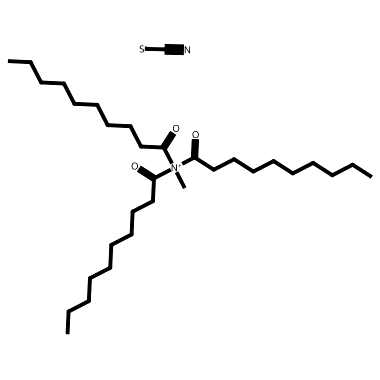 CCCCCCCCCC(=O)[N+](C)(C(=O)CCCCCCCCC)C(=O)CCCCCCCCC.N#C[S-]